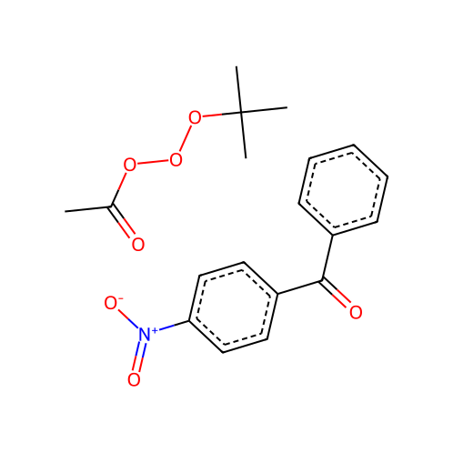 CC(=O)OOOC(C)(C)C.O=C(c1ccccc1)c1ccc([N+](=O)[O-])cc1